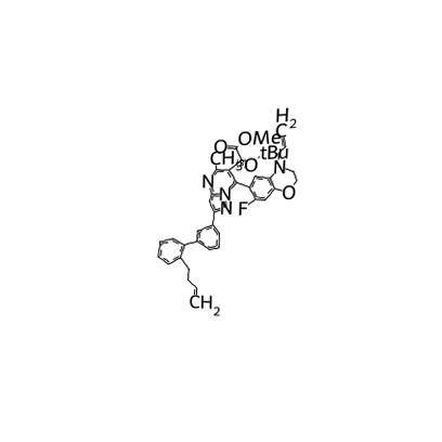 C=CCCc1ccccc1-c1cccc(-c2cc3nc(C)c([C@H](OC(C)(C)C)C(=O)OC)c(-c4cc5c(cc4F)OCCN5CC=C)n3n2)c1